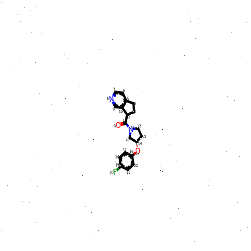 O=C(C1CCc2ccncc21)N1CC[C@H](Oc2ccc(F)cc2)C1